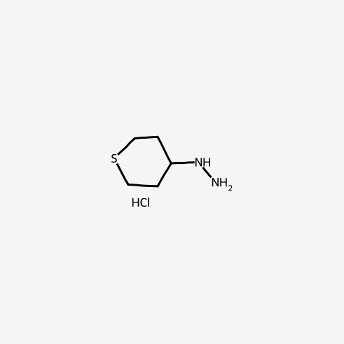 Cl.NNC1CCSCC1